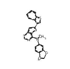 CN(c1ccc2c(c1)OCO2)c1ncnc2cc(-c3csc4ccccc34)sc12